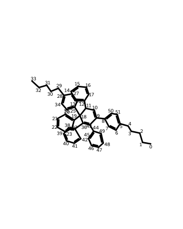 CCCCCc1ccc(C2=CC(c3ccccc3)C(c3ccccc3)(c3ccc(CCCCC)cc3)C(c3ccccc3)=C2c2ccccc2)cc1